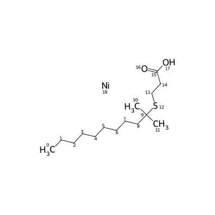 CCCCCCCCCC(C)(C)SCCC(=O)O.[Ni]